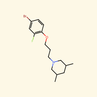 CC1CC(C)CN(CCCOc2ccc(Br)cc2F)C1